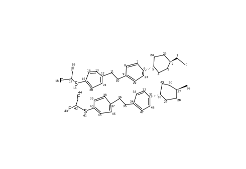 CC[C@H]1CC[C@H](c2ccc(CCc3ccc(SC(F)F)cc3)cc2)CC1.C[C@H]1CC[C@H](c2ccc(CCc3ccc(SC(F)F)cc3)cc2)CC1